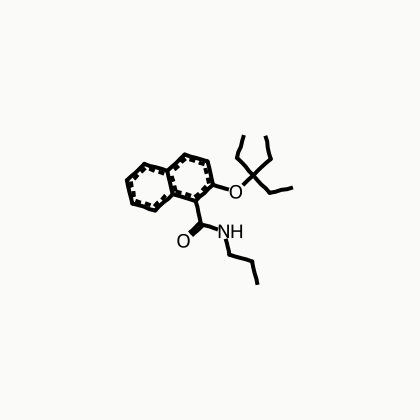 CCCNC(=O)c1c(OC(CC)(CC)CC)ccc2ccccc12